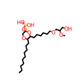 CCCCCCCCCCC1OCCOC1CCCCCCOCC(CO)OC.O=[PH](O)O